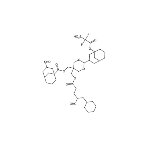 O=CC(CCC(=O)OCC1(COC(=O)C23CCCC(CC(C=O)C2)C3)COC(C2CC3CCCC(OC(=O)C(F)(F)S(=O)(=O)O)(C3)C2)OC1)CC1CCCCC1